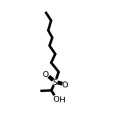 CCCCCCCCS(=O)(=O)C(C)O